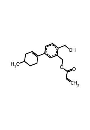 C=CC(=O)OCc1cc(C2=CCC(C)CC2)ccc1CO